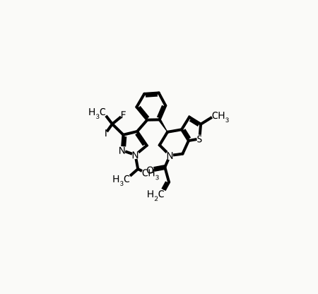 C=CC(=O)N1Cc2sc(C)cc2[C@H](c2ccccc2-c2cn(C(C)C)nc2C(C)(F)I)C1